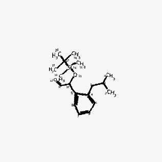 CC(C)Cc1ccccc1C(C=O)O[Si](C)(C)C(C)(C)C